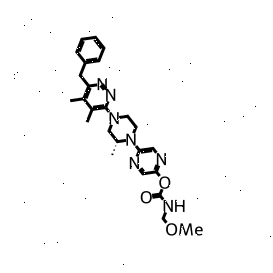 COCNC(=O)Oc1cnc(N2CCN(c3nnc(Cc4ccccc4)c(C)c3C)C[C@H]2C)cn1